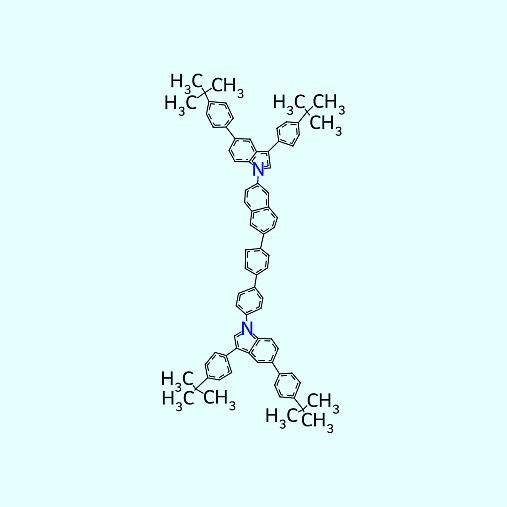 CC(C)(C)c1ccc(-c2ccc3c(c2)c(-c2ccc(C(C)(C)C)cc2)cn3-c2ccc(-c3ccc(-c4ccc5cc(-n6cc(-c7ccc(C(C)(C)C)cc7)c7cc(-c8ccc(C(C)(C)C)cc8)ccc76)ccc5c4)cc3)cc2)cc1